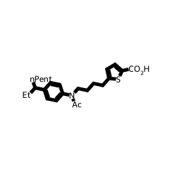 CCCCCC(CC)c1ccc(N(CCCCc2ccc(C(=O)O)s2)C(C)=O)cc1